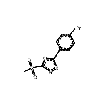 CC(C)c1ccc(-c2nnc(S(C)(=O)=O)o2)cc1